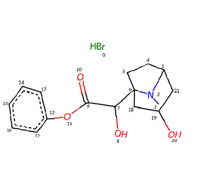 Br.CN1C2CCC1(C(O)C(=O)Oc1ccccc1)CC(O)C2